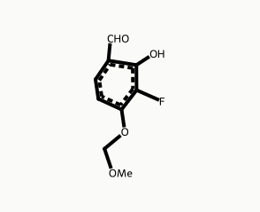 COCOc1ccc(C=O)c(O)c1F